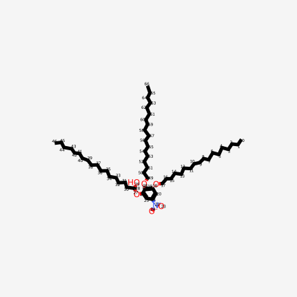 CCCCCCCCCCCCCCCCCCOc1cc([N+](=O)[O-])cc(OC(O)CCCCCCCCCCCCCCCCC)c1OCCCCCCCCCCCCCCCCCC